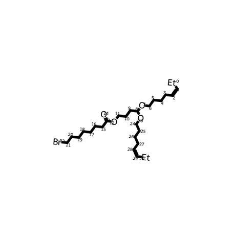 CC/C=C\CCCCOC(CCCOC(=O)CCCCCCCBr)OCCCC/C=C\CC